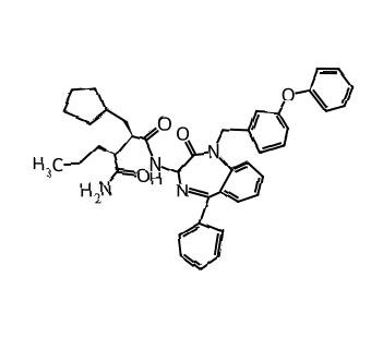 CCC[C@H](C(N)=O)[C@@H](CC1CCCC1)C(=O)NC1N=C(c2ccccc2)c2ccccc2N(Cc2cccc(Oc3ccccc3)c2)C1=O